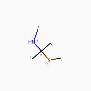 CSC(C)(C)NI